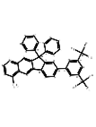 Cc1ccnc2cc3c(cc12)-c1ccc(-c2cc(C(F)(F)F)cc(C(F)(F)F)c2)cc1C3(c1ccccc1)c1ccccc1